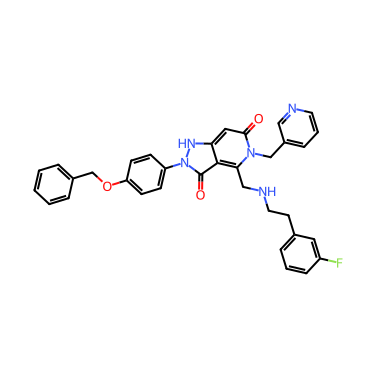 O=c1c2c(CNCCc3cccc(F)c3)n(Cc3cccnc3)c(=O)cc2[nH]n1-c1ccc(OCc2ccccc2)cc1